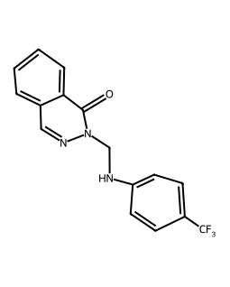 O=c1c2ccccc2cnn1CNc1ccc(C(F)(F)F)cc1